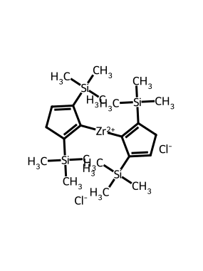 C[Si](C)(C)C1=CCC([Si](C)(C)C)=[C]1[Zr+2][C]1=C([Si](C)(C)C)CC=C1[Si](C)(C)C.[Cl-].[Cl-]